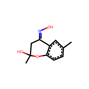 Cc1ccc2c(c1)/C(=N\O)CC(C)(O)O2